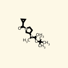 CN(C(=O)OC(C)(C)C)C1CCN(C(=O)C2CC2)C1